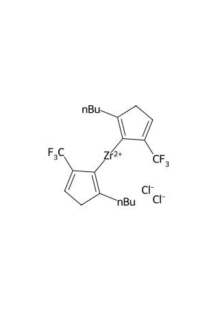 CCCCC1=[C]([Zr+2][C]2=C(CCCC)CC=C2C(F)(F)F)C(C(F)(F)F)=CC1.[Cl-].[Cl-]